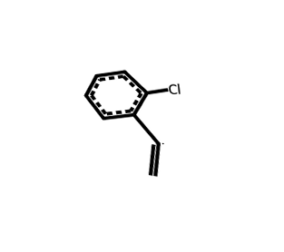 C=[C]c1ccccc1Cl